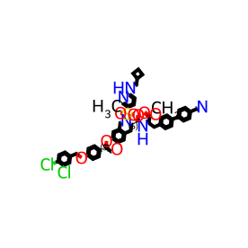 COC(=O)C(Cc1ccc(-c2ccc(C#N)cc2)cc1)NC(=O)[C@@H]1Cc2cc3c(cc2CN1S(=O)(=O)c1ccc(NCC2CCC2)nc1C)O[C@@H](c1ccc(OCc2ccc(Cl)c(Cl)c2)cc1)CO3